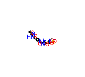 CC[N+]1(OS(C)(=O)=O)CCC(Oc2ccc(C(=O)Nc3ccc(CC(=O)Nc4cc(C(C)(C)C)on4)cc3)nc2)CC1